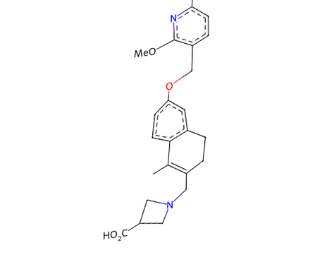 CCCc1ccc(COc2ccc3c(c2)CCC(CN2CC(C(=O)O)C2)=C3C)c(OC)n1